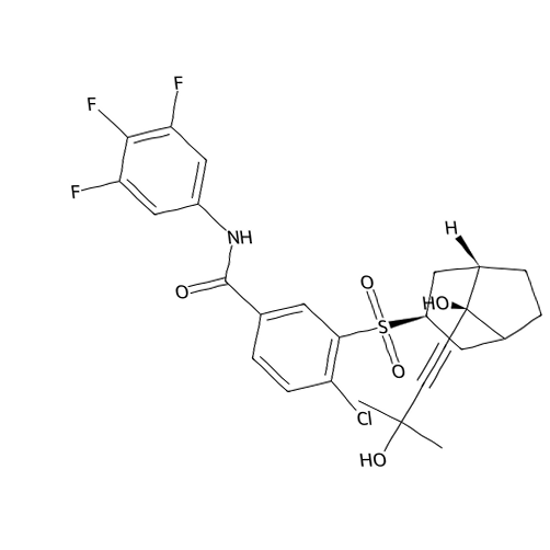 CC(C)(O)C#C[C@@]1(O)C2CC[C@H]1C[C@H](S(=O)(=O)c1cc(C(=O)Nc3cc(F)c(F)c(F)c3)ccc1Cl)C2